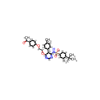 CC(=O)c1ccc(OCCOc2ncnc(NS(=O)(=O)c3ccc(C(C)(C)C)cc3)c2-c2ccc(C)cc2)cc1